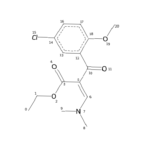 CCOC(=O)C(=CN(C)C)C(=O)c1cc(Cl)ccc1OC